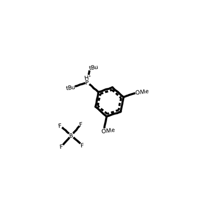 COc1cc(OC)cc([PH+](C(C)(C)C)C(C)(C)C)c1.F[B-](F)(F)F